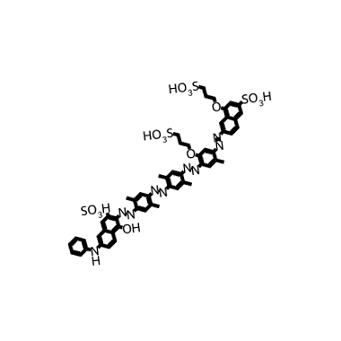 Cc1cc(N=Nc2cc(C)c(N=Nc3cc(C)c(N=Nc4c(S(=O)(=O)O)cc5cc(Nc6ccccc6)ccc5c4O)cc3C)cc2C)c(OCCCS(=O)(=O)O)cc1N=Nc1ccc2cc(S(=O)(=O)O)cc(OCCCS(=O)(=O)O)c2c1